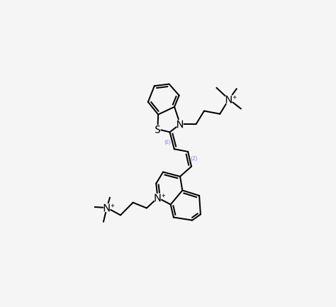 C[N+](C)(C)CCCN1/C(=C\C=C/c2cc[n+](CCC[N+](C)(C)C)c3ccccc23)Sc2ccccc21